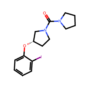 O=C(N1CCCC1)N1CC[C@H](Oc2cc[c]cc2I)C1